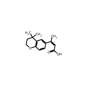 C/C(=C/C(=O)O)c1ccc2c(c1)C(C)(C)CCO2